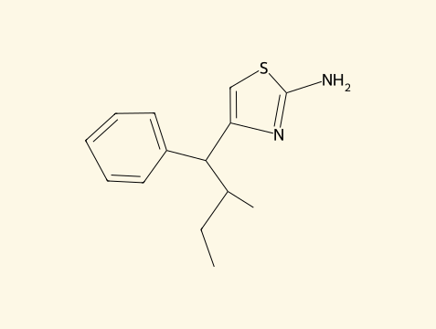 CCC(C)C(c1ccccc1)c1csc(N)n1